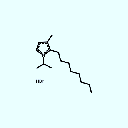 Br.CCCCCCCCc1c(C)ccn1C(C)C